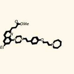 CCc1cc(N2CCN(CCc3ccc(OCCCN4CCCCCC4)cc3)CC2)c2nc(CCC(=O)OC)ccc2c1